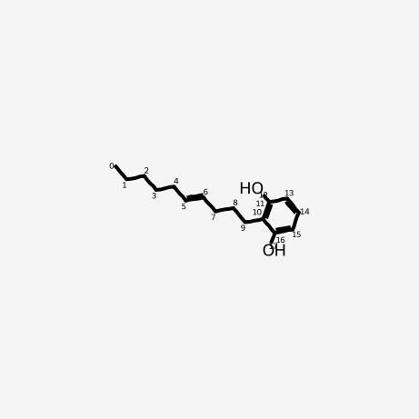 CCCCCC=CCCCc1c(O)cccc1O